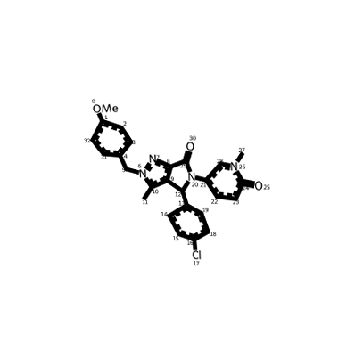 COc1ccc(Cn2nc3c(c2C)C(c2ccc(Cl)cc2)N(c2ccc(=O)n(C)c2)C3=O)cc1